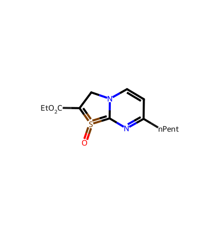 CCCCCC1=NC2=S(=O)=C(C(=O)OCC)CN2C=C1